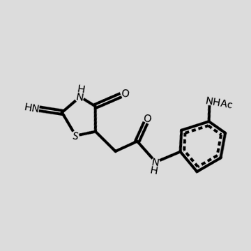 CC(=O)Nc1cccc(NC(=O)CC2SC(=N)NC2=O)c1